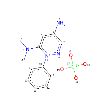 CN(C)c1cc(N)cn[n+]1-c1ccccc1.[O-][Cl+3]([O-])([O-])[O-]